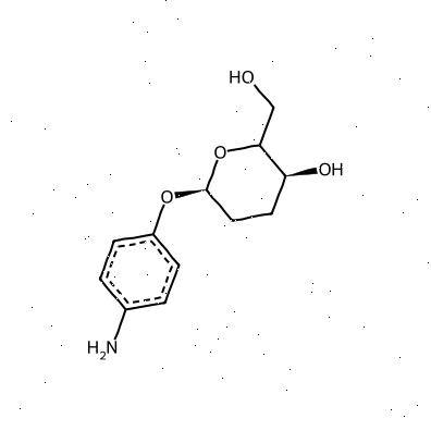 Nc1ccc(O[C@@H]2CC[C@H](O)C(CO)O2)cc1